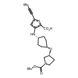 CC(C)(C)C#Cc1cc(N[C@H]2CC[C@H](O[C@H]3CCN(C(=O)OC(C)(C)C)C3)CC2)c(C(=O)O)s1